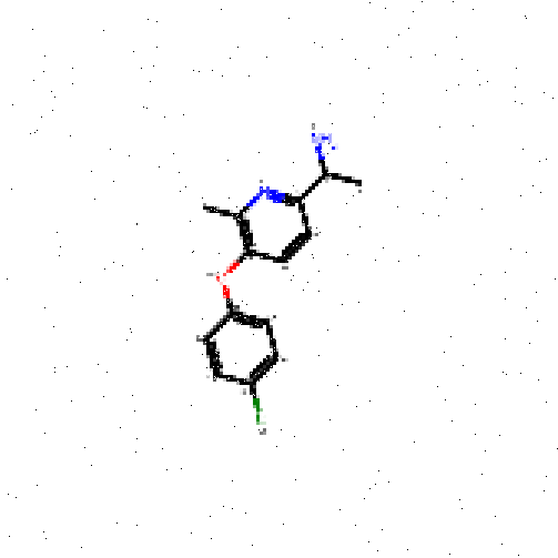 Cc1nc(C(C)N)ccc1Oc1ccc(Cl)cc1